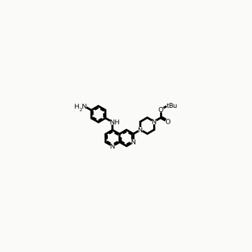 CC(C)(C)OC(=O)N1CCN(c2cc3c(Nc4ccc(N)cc4)ccnc3cn2)CC1